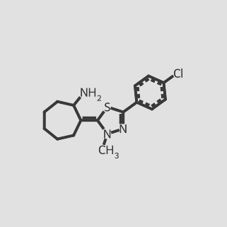 CN1N=C(c2ccc(Cl)cc2)SC1=C1CCCCCC1N